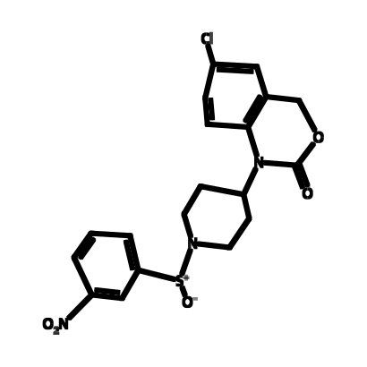 O=C1OCc2cc(Cl)ccc2N1C1CCN([S+]([O-])c2cccc([N+](=O)[O-])c2)CC1